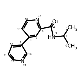 CC(C)NC(=O)c1cc(-c2cccnc2)ccn1